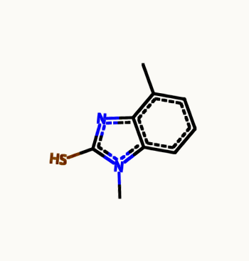 Cc1cccc2c1nc(S)n2C